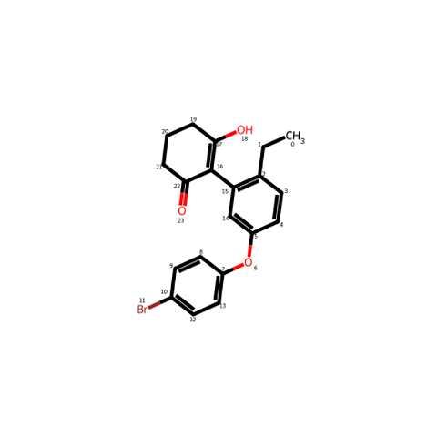 CCc1ccc(Oc2ccc(Br)cc2)cc1C1=C(O)CCCC1=O